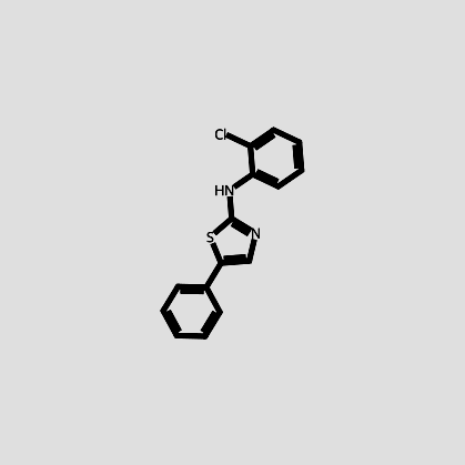 Clc1ccccc1Nc1ncc(-c2ccccc2)s1